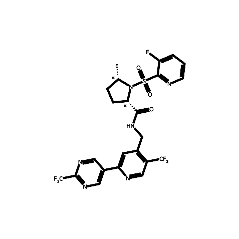 C[C@H]1CC[C@@H](C(=O)NCc2cc(-c3cnc(C(F)(F)F)nc3)ncc2C(F)(F)F)N1S(=O)(=O)c1ncccc1F